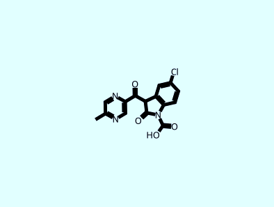 Cc1cnc(C(=O)C2C(=O)N(C(=O)O)c3ccc(Cl)cc32)cn1